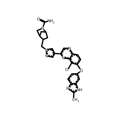 Cc1nc2ccc(Oc3ccc4ncc(-c5cnn(CC6CC7CC6CN7C(N)=O)c5)nc4c3Cl)cc2[nH]1